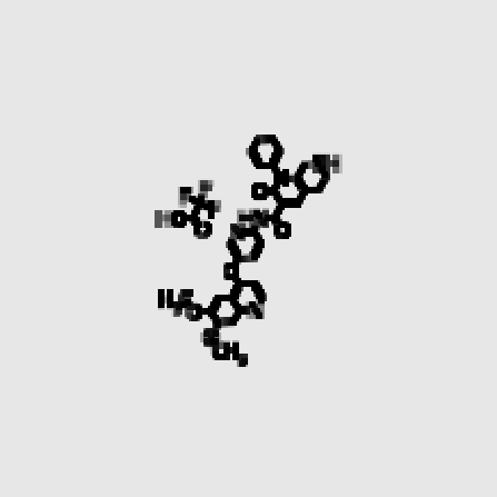 COc1cc2nccc(Oc3ccc(NC(=O)c4cc5c(n(-c6ccccc6)c4=O)CNCC5)nc3)c2cc1OC.O=C(O)C(F)(F)F